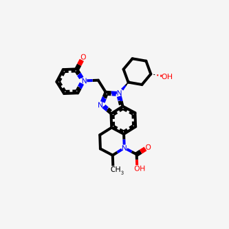 CC1CCc2c(ccc3c2nc(Cn2ccccc2=O)n3[C@H]2CCC[C@H](O)C2)N1C(=O)O